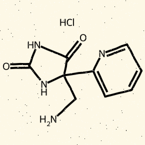 Cl.NCC1(c2ccccn2)NC(=O)NC1=O